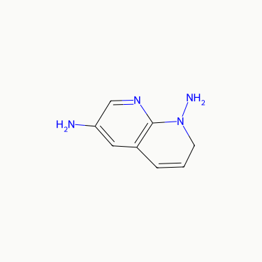 Nc1cnc2c(c1)C=CCN2N